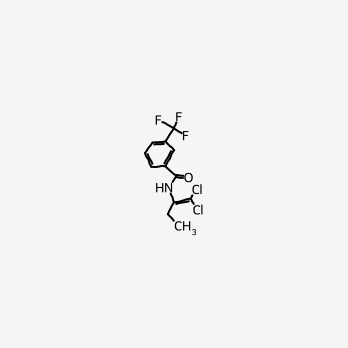 CCC(NC(=O)c1cccc(C(F)(F)F)c1)=C(Cl)Cl